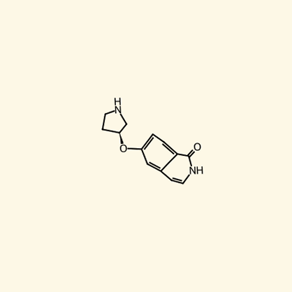 O=c1[nH]ccc2cc(O[C@H]3CCNC3)ccc12